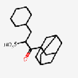 O=C(C(CC1CCCCC1)S(=O)(=O)O)C12CC3CC(CC(C3)C1)C2